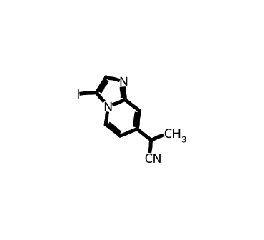 CC(C#N)c1ccn2c(I)cnc2c1